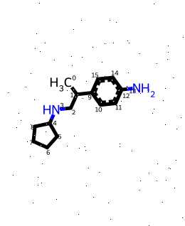 CC(CNC1CCCC1)c1ccc(N)cc1